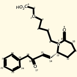 O=C(O)COCCCCN1C(=O)CCC[C@@H]1C=CC(=O)Cc1ccccc1